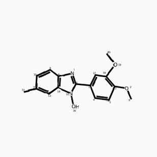 COc1ccc(-c2nc3ccc(C)cc3n2O)cc1OC